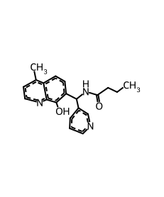 CCCC(=O)NC(c1cccnc1)c1ccc2c(C)ccnc2c1O